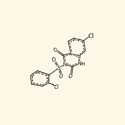 O=c1[nH]c2cc(Cl)ccc2c(=O)n1S(=O)(=O)c1ccccc1Cl